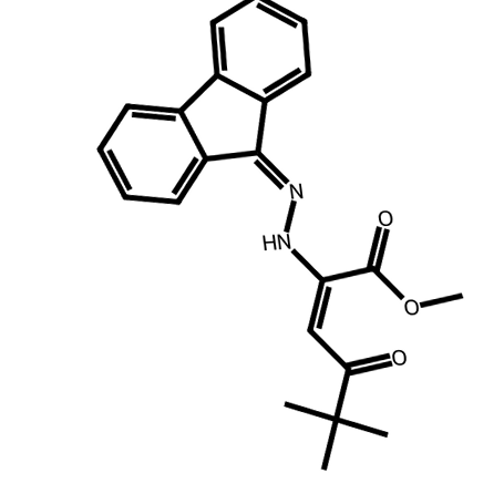 COC(=O)C(=CC(=O)C(C)(C)C)NN=C1c2ccccc2-c2ccccc21